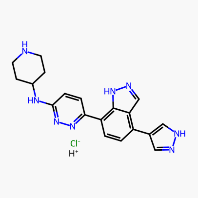 [Cl-].[H+].c1n[nH]cc1-c1ccc(-c2ccc(NC3CCNCC3)nn2)c2[nH]ncc12